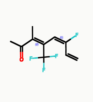 C=C/C(F)=C\C(=C(/C)C(C)=O)C(F)(F)F